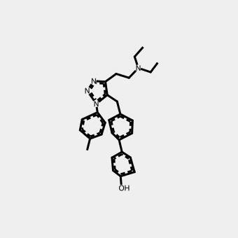 CCN(CC)CCc1nnn(-c2ccc(C)cc2)c1Cc1ccc(-c2ccc(O)cc2)cc1